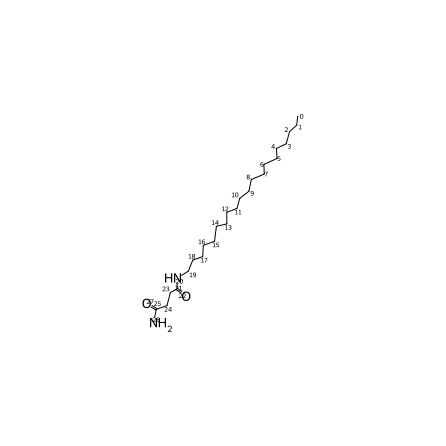 CCCCCCCCCCCCCCCCCCCCNC(=O)CCC(N)=O